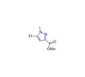 CCc1cc(C(=O)OC)nn1C